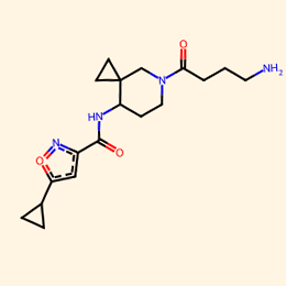 NCCCC(=O)N1CCC(NC(=O)c2cc(C3CC3)on2)C2(CC2)C1